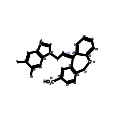 Cc1cc2ncn(C/C=C3\c4cc(C(=O)O)ccc4COc4ccccc43)c2cc1C